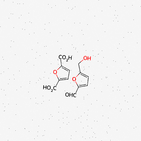 O=C(O)c1ccc(C(=O)O)o1.O=Cc1ccc(CO)o1